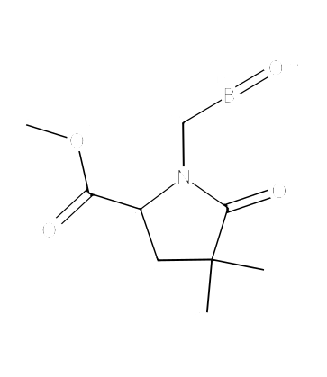 COC(=O)C1CC(C)(C)C(=O)N1CB=O